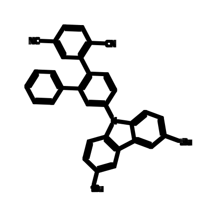 CC(C)(C)c1ccc2c(c1)c1cc(C(C)(C)C)ccc1n2-c1ccc(-c2cc(C#N)ccc2C#N)c(-c2ccccc2)c1